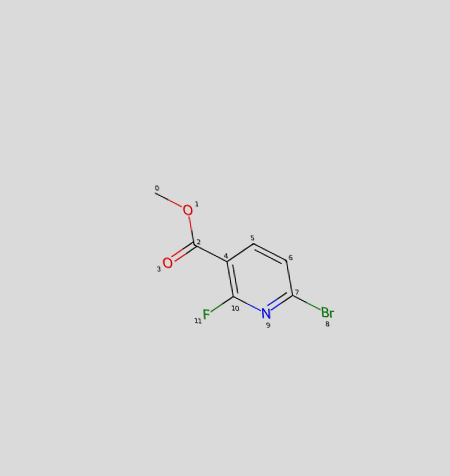 COC(=O)c1ccc(Br)nc1F